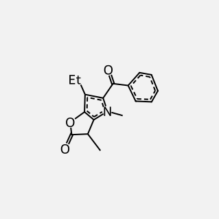 CCc1c2c(n(C)c1C(=O)c1ccccc1)C(C)C(=O)O2